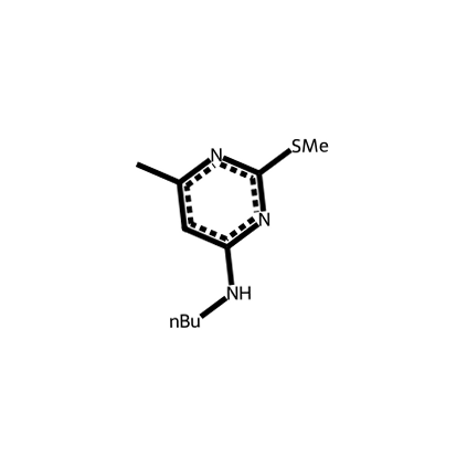 CCCCNc1cc(C)nc(SC)n1